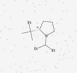 CCC(CC)N1CCC[C@H]1C(C)(C)CC